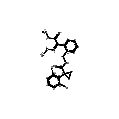 CON=C(C(=O)OC)c1ccccc1COC(=O)C1(c2c(F)cccc2F)CC1